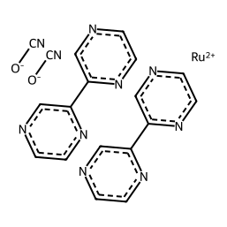 N#C[O-].N#C[O-].[Ru+2].c1cnc(-c2cnccn2)cn1.c1cnc(-c2cnccn2)cn1